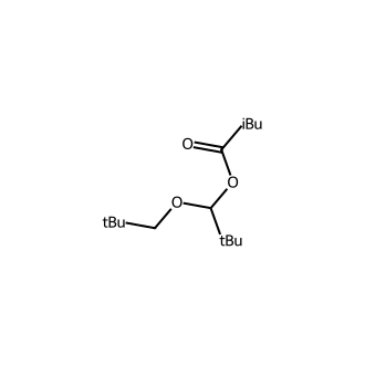 CCC(C)C(=O)OC(OCC(C)(C)C)C(C)(C)C